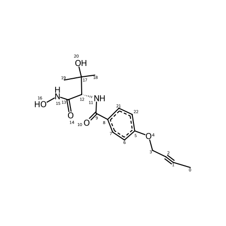 CC#CCOc1ccc(C(=O)N[C@H](C(=O)NO)C(C)(C)O)cc1